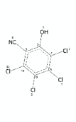 N#Cc1c(O)c(Cl)c(Cl)c(Cl)c1Cl